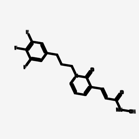 O=C(/C=C/c1cccn(CCCc2cc(F)c(F)c(F)c2)c1=O)NO